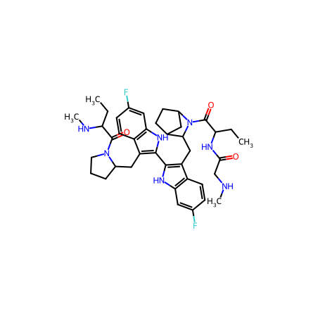 CCC(NC)C(=O)N1CCCC1Cc1c(-c2[nH]c3cc(F)ccc3c2CC2C3CCC(C3)N2C(=O)C(CC)NC(=O)CNC)[nH]c2cc(F)ccc12